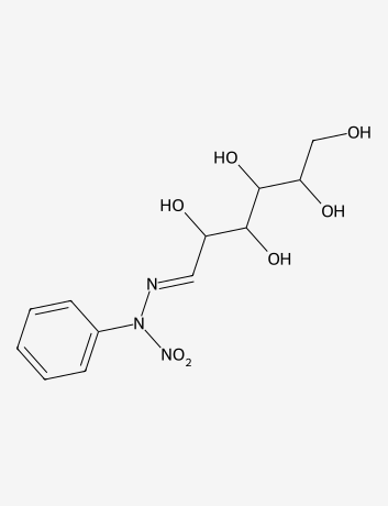 O=[N+]([O-])N(N=CC(O)C(O)C(O)C(O)CO)c1ccccc1